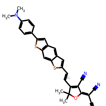 CN(C)c1ccc(-c2cc3cc4cc(/C=C/C5=C(C#N)C(=C(C#N)C#N)OC5(C)C)sc4cc3s2)cc1